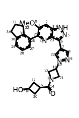 COc1cc2[nH]nc(-c3cnn(C4CN(C(=O)C5CC(O)C5)C4)c3)c2nc1-c1cccc2c1CCC2